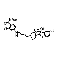 CCc1cccc(C(O)(C(=O)N2CCC(CCCCNc3ccc(C(=O)NC)c(Cl)c3)CC2)C(F)(F)F)c1